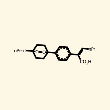 CCCC=C(C(=O)O)c1ccc(C23CCC(CCCCC)(CC2)CC3)cc1